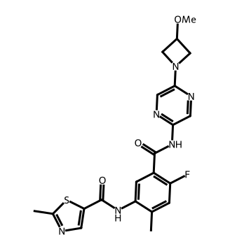 COC1CN(c2cnc(NC(=O)c3cc(NC(=O)c4cnc(C)s4)c(C)cc3F)cn2)C1